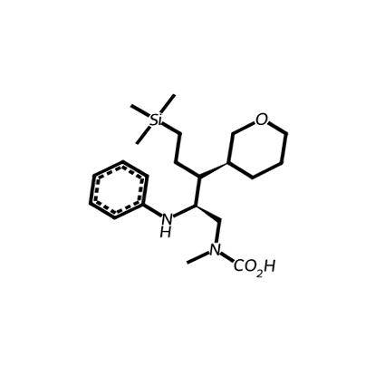 CN(C[C@@H](Nc1ccccc1)C(CC[Si](C)(C)C)[C@@H]1CCCOC1)C(=O)O